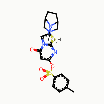 Cc1ccc(S(=O)(=O)Oc2cc(=O)n3cc(N4C5CCC4CN(C(=O)O)C5)sc3n2)cc1